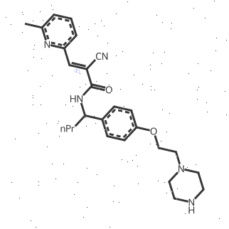 CCCC(NC(=O)/C(C#N)=C/c1cccc(C)n1)c1ccc(OCCN2CCNCC2)cc1